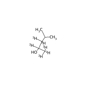 [2H]C([2H])([2H])C([2H])(O)C([2H])([2H])C(C)C